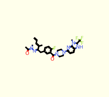 C=C/C=C(C)/C(Cc1ccc(F)c(C(=O)N2CCN(c3ccc4c(n3)N(C)C(C(F)(F)F)N4)CC2)c1)=N\N(C)C(C)=O